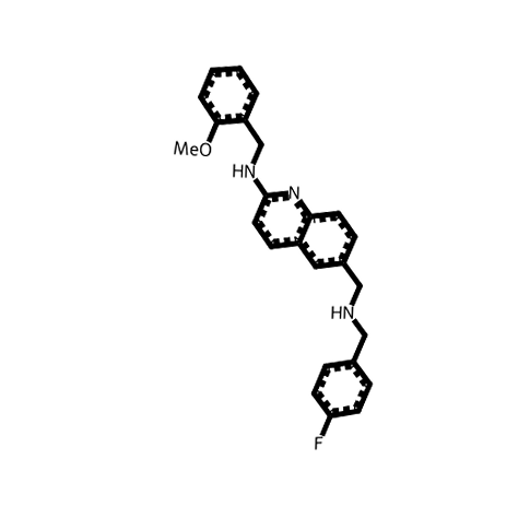 COc1ccccc1CNc1ccc2cc(CNCc3ccc(F)cc3)ccc2n1